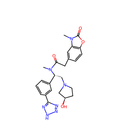 CN(C(=O)Cc1ccc2oc(=O)n(C)c2c1)[C@H](CN1CC[C@@H](O)C1)c1cccc(-c2nn[nH]n2)c1